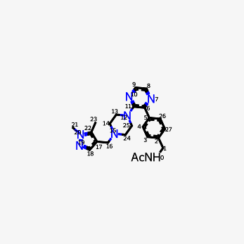 CC(=O)NCc1ccc(-c2nccnc2N2CCN(Cc3cnn(C)c3C)CC2)cc1